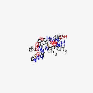 Cc1ncsc1-c1ccc([C@H](C)NC(=O)[C@@H]2C[C@@H](O)CN2C(=O)[C@@H](NC(=O)CCc2ccc(Oc3cccc(-c4ccc(N5CCc6cccc(C(=O)Nc7nc8ccccc8s7)c6C5)nc4C(=O)OC(C)(C)C)c3C)cc2)C(C)(C)C)cc1